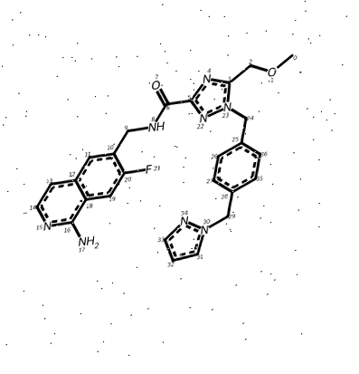 COCc1nc(C(=O)NCc2cc3ccnc(N)c3cc2F)nn1Cc1ccc(Cn2cccn2)cc1